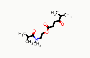 CC(C)C(=O)CCC(=O)OCCN(C)C(=O)C(C)C